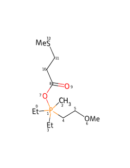 CCP(C)(CC)(CCOC)OC(=O)CCSC